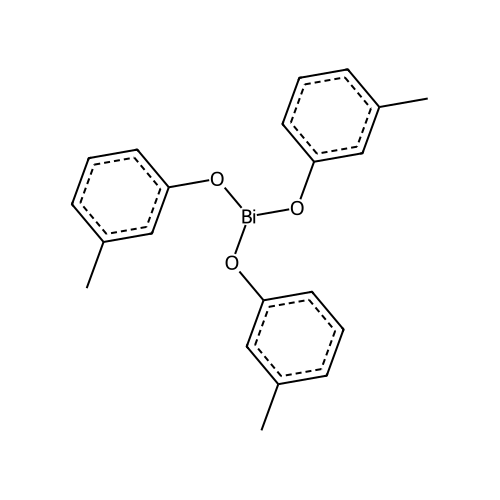 Cc1cccc([O][Bi]([O]c2cccc(C)c2)[O]c2cccc(C)c2)c1